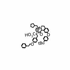 CC(C)(C)c1ccc(Oc2ccc3c(c2)C(C(=O)N[C@@H](Cc2ccc(OCCc4ccccc4)cc2)C(=O)O)N(C(=O)CC2CCCC2)CC3)cc1